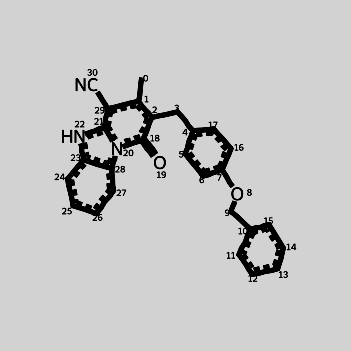 Cc1c(Cc2ccc(OCc3ccccc3)cc2)c(=O)n2c([nH]c3ccccc32)c1C#N